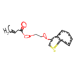 C=CC(=O)OCCOc1csc2ccccc12